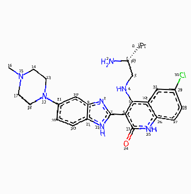 CC(C)[C@@H](N)CNc1c(-c2nc3cc(N4CCN(C)CC4)ccc3[nH]2)c(=O)[nH]c2ccc(Cl)cc12